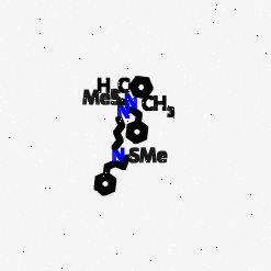 CSC1CC(Cc2ccccc2)N1CCCCCN1C(Cc2ccccc2)N(c2c(C)cccc2C)C1SC